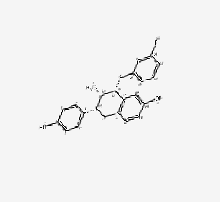 C[C@H]1[C@@H](c2ccc(O)cc2)Cc2ccc(O)cc2[C@H]1Cc1cccc(F)c1